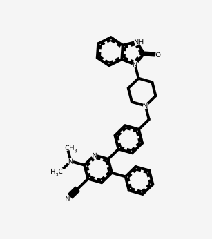 CN(C)c1nc(-c2ccc(CN3CCC(n4c(=O)[nH]c5ccccc54)CC3)cc2)c(-c2ccccc2)cc1C#N